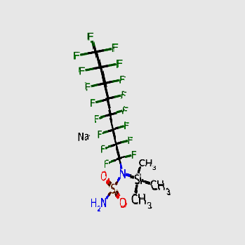 C[Si](C)(C)N(C(F)(F)C(F)(F)C(F)(F)C(F)(F)C(F)(F)C(F)(F)C(F)(F)C(F)(F)F)S(N)(=O)=O.[Na]